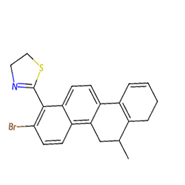 CC1Cc2c(ccc3c(C4=NCCS4)c(Br)ccc23)C2=C1CCC=C2